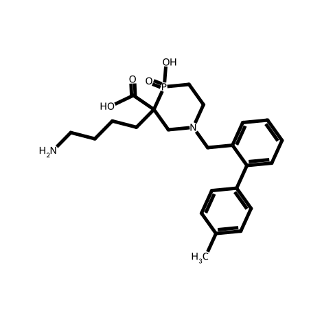 Cc1ccc(-c2ccccc2CN2CCP(=O)(O)C(CCCCN)(C(=O)O)C2)cc1